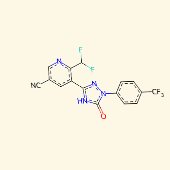 N#Cc1cnc(C(F)F)c(-c2nn(-c3ccc(C(F)(F)F)cc3)c(=O)[nH]2)c1